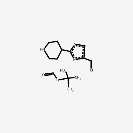 CC(C)(C)OC=O.ClCc1csc(C2CCNCC2)n1